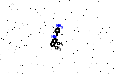 Cc1cc(NCC2CCC(N)CC2)cc2c1C(C)CC2